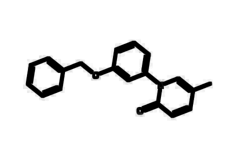 Cc1ccc(=O)n(-c2cccc(OCc3ccccc3)c2)c1